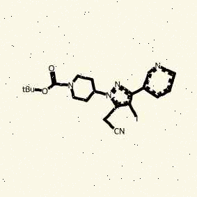 CC(C)(C)OC(=O)N1CCC(n2nc(-c3cccnc3)c(I)c2CC#N)CC1